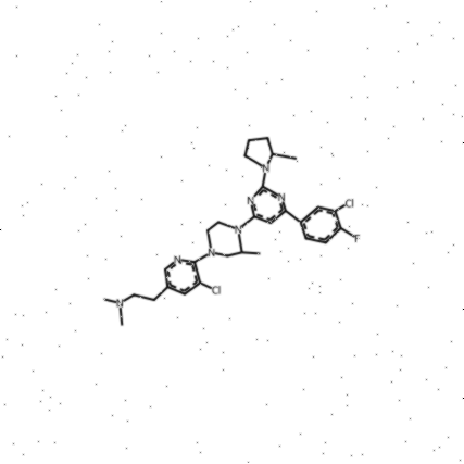 CC1CN(c2ncc(CCN(C)C)cc2Cl)CCN1c1cc(-c2ccc(F)c(Cl)c2)nc(N2CCCC2C)n1